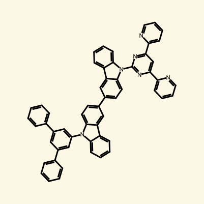 c1ccc(-c2cc(-c3ccccc3)cc(-n3c4ccccc4c4cc(-c5ccc6c(c5)c5ccccc5n6-c5nc(-c6ccccn6)cc(-c6ccccn6)n5)ccc43)c2)cc1